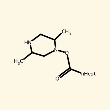 CCCCCCCC(=O)ON1CC(C)NCC1C